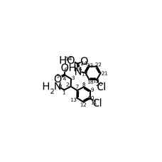 NCC(CC(=O)O)c1ccc(Cl)cc1.Oc1nc2cc(Cl)ccc2o1